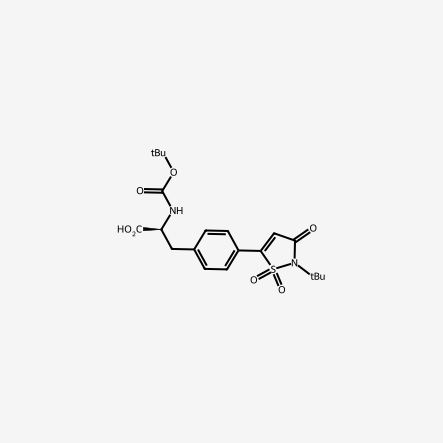 CC(C)(C)OC(=O)N[C@@H](Cc1ccc(C2=CC(=O)N(C(C)(C)C)S2(=O)=O)cc1)C(=O)O